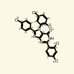 O=c1[nH]c(-c2ccc(Cl)cc2Cl)nc2nc(-c3ccc(Cl)cc3)n(-c3cc(Cl)ccc3Cl)c12